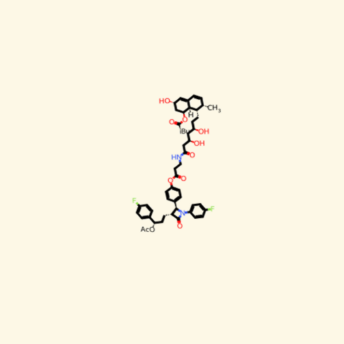 CC[C@H](C)C(=O)O[C@H]1C[C@H](O)C=C2C=C[C@H](C)[C@H](CC[C@@H](O)C[C@@H](O)CC(=O)NCCC(=O)Oc3ccc([C@@H]4[C@@H](CC[C@H](OC(C)=O)c5ccc(F)cc5)C(=O)N4c4ccc(F)cc4)cc3)[C@H]21